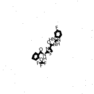 O=C(Nc1nc2ccc(F)cc2[nH]1)c1csc(NC(=O)c2ccccc2OC(F)(F)F)n1